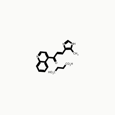 Cc1[nH]cnc1C=CC(=O)c1ccnc2ccccc12.O=C(O)CCC(=O)O